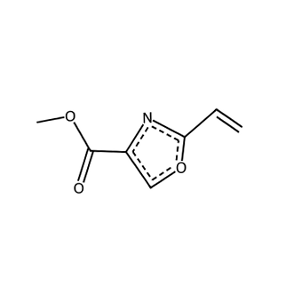 C=Cc1nc(C(=O)OC)co1